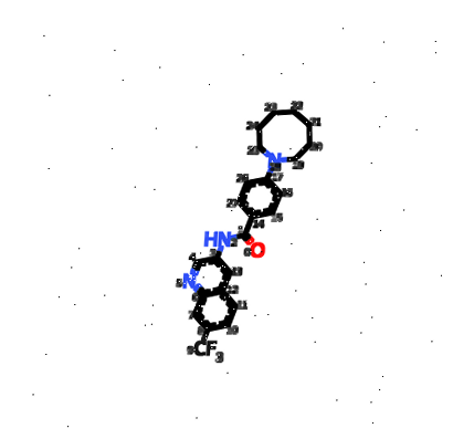 O=C(Nc1cnc2cc(C(F)(F)F)ccc2c1)c1ccc(N2CCCCCCC2)cc1